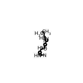 CN(C)CCCNc1nccc(-c2ccc(C(=O)NCCc3ccc4[nH]cc(C#N)c4c3)cc2)n1